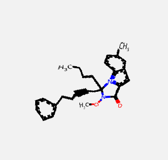 CCCCC1(C#CCCc2ccccc2)N(OC)C(=O)c2cc3cc(C)ccc3n21